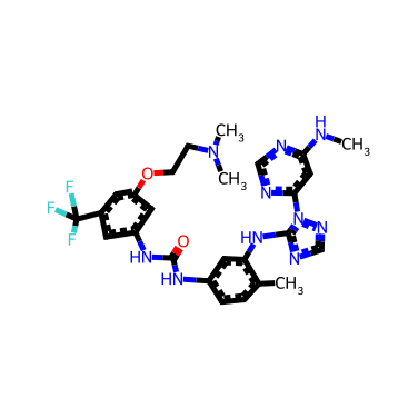 CNc1cc(-n2ncnc2Nc2cc(NC(=O)Nc3cc(OCCN(C)C)cc(C(F)(F)F)c3)ccc2C)ncn1